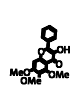 COc1cc2oc(-c3ccccc3)c(O)c(=O)c2c(OC)c1OC